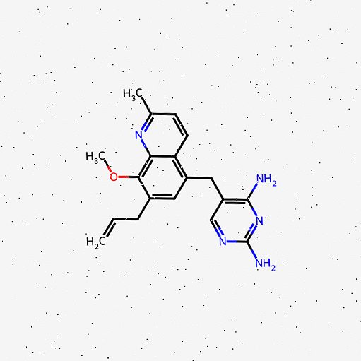 C=CCc1cc(Cc2cnc(N)nc2N)c2ccc(C)nc2c1OC